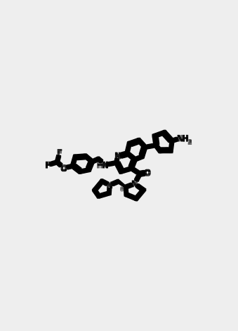 Nc1ccc(-c2ccc3nc(NCc4ccc(OC(F)F)cc4)cc(C(=O)N4CCC[C@H]4CN4CCCC4)c3c2)cc1